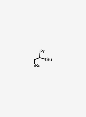 CCC(C)CC(C(C)C)C(C)(C)C